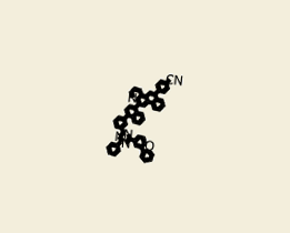 N#Cc1ccc(-c2cc3c4cccnc4c(-c4ccc(-c5cccc(-c6nc(-c7ccccc7)nc(-c7ccc8oc9ccccc9c8c7)n6)c5)c5ccccc45)cc3c3ccccc23)cc1